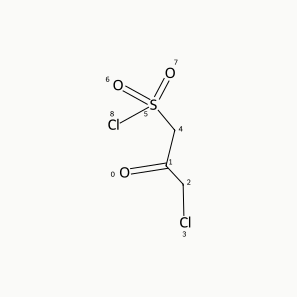 O=C(CCl)CS(=O)(=O)Cl